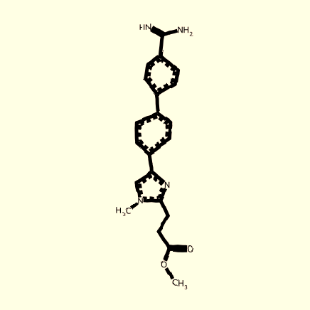 COC(=O)CCc1nc(-c2ccc(-c3ccc(C(=N)N)cc3)cc2)cn1C